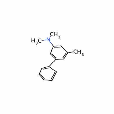 Cc1cc(-c2ccccc2)cc(N(C)C)c1